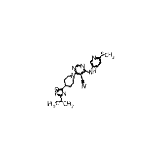 CSc1ccc(Nc2ncnc(N3CCC(c4nc(C(C)C)no4)CC3)c2C#N)cn1